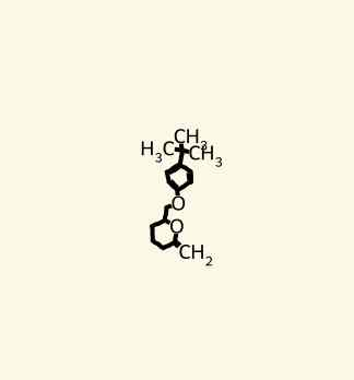 C=C1CCCC(COc2ccc(C(C)(C)C)cc2)O1